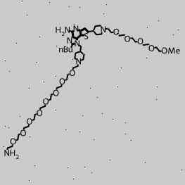 CCCCc1nc2c(N)nc3cc(C4CCN(CCOCCOCCOCCOCCOC)CC4)sc3c2n1CC1CCN(CCOCCOCCOCCOCCOCCOCCOCCOCCN)CC1